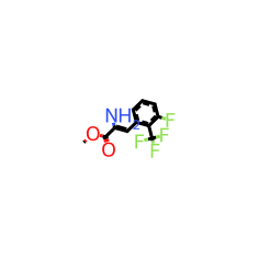 COC(=O)/C(N)=C/c1cccc(F)c1C(F)(F)F